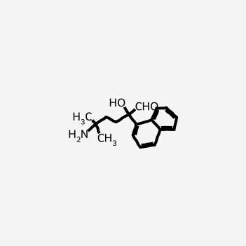 CC(C)(N)CCC(O)(C=O)c1cccc2ccccc12